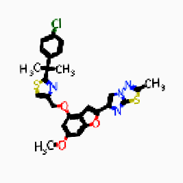 COc1cc(OCc2csc(C(C)(C)c3ccc(Cl)cc3)n2)c2cc(-c3cn4nc(C)sc4n3)oc2c1